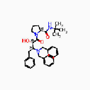 CC(C)(C)NC(=O)[C@@H]1CCCN1C(=O)[C@@H](O)[C@H](Cc1ccccc1)N(Cc1ccccc1)Cc1ccccc1